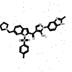 Cc1ccc(S(=O)(=O)n2c(C(=O)c3cnn(-c4ccc5[nH]c(C)nc5c4)c3N)cc3ccc(CN4CCCC4)cc32)cc1